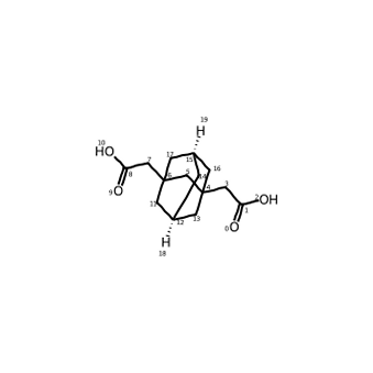 O=C(O)CC12CC3(CC(=O)O)C[C@H](C1)C[C@H](C2)C3